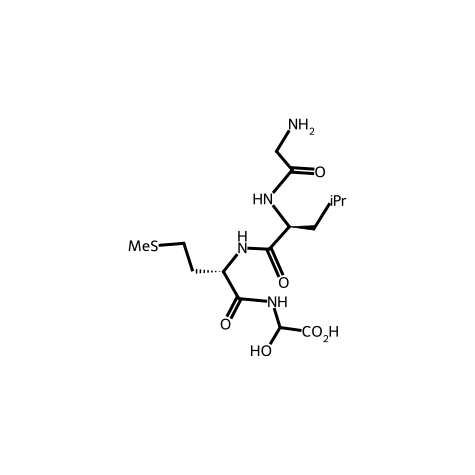 CSCC[C@H](NC(=O)[C@H](CC(C)C)NC(=O)CN)C(=O)NC(O)C(=O)O